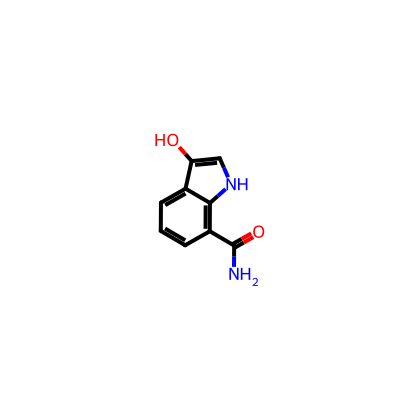 NC(=O)c1cccc2c(O)c[nH]c12